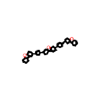 c1ccc2c(c1)oc1ccc(-c3ccc(-c4ccc5c(c4)oc4cc(-c6ccc(-c7ccc8oc9ccccc9c8c7)cc6)ccc45)cc3)cc12